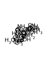 CN[C@@H]1[C@@H](O)[C@@H](O[C@@H]2[C@@H](O)[C@H](O[C@H]3OC(CN)=CC[C@H]3N)[C@@H](N)C[C@@]2(N)OC(=O)C2(O)CCN(C(=O)OC(C)(C)C)C2)OC[C@]1(C)O